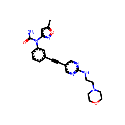 Cc1cc(N(C(N)=O)c2cccc(C#Cc3cnc(NCCN4CCOCC4)nc3)c2)no1